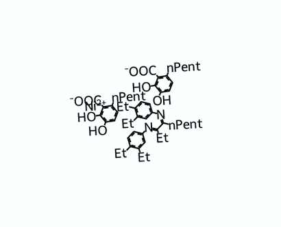 CCCCCC(=Nc1ccc(CC)c(CC)c1)C(CC)=Nc1ccc(CC)c(CC)c1.CCCCCc1ccc(O)c(O)c1C(=O)[O-].CCCCCc1ccc(O)c(O)c1C(=O)[O-].[Ni+2]